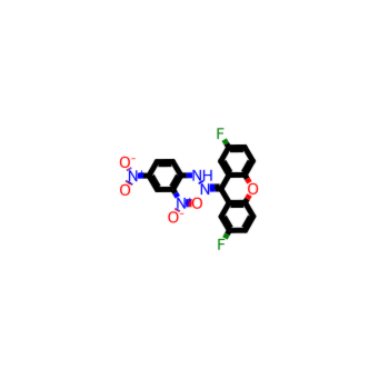 O=[N+]([O-])c1ccc(NN=c2c3cc(F)ccc3oc3ccc(F)cc23)c([N+](=O)[O-])c1